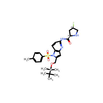 Cc1ccc(S(=O)(=O)n2c(CO[Si](C)(C)C(C)(C)C)cc3nc(NC(=O)[C@H]4C[C@@H](F)CN4)ccc32)cc1